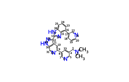 CN(C)Cc1cncc(-c2cc3c(-c4nc5c(-c6cccnc6)cccc5[nH]4)n[nH]c3cn2)c1